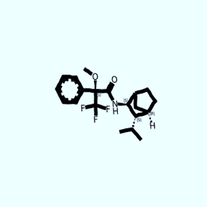 CO[C@](C(=O)N[C@H]1C2CC[C@H](C2)[C@@H]1C(C)C)(c1ccccc1)C(F)(F)F